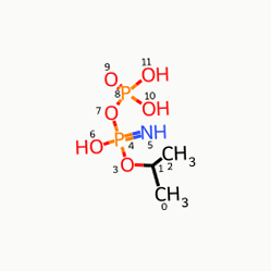 CC(C)OP(=N)(O)OP(=O)(O)O